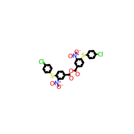 O=C(OC(=O)c1ccc(Sc2ccc(Cl)cc2)c([N+](=O)[O-])c1)c1ccc(Sc2ccc(Cl)cc2)c([N+](=O)[O-])c1